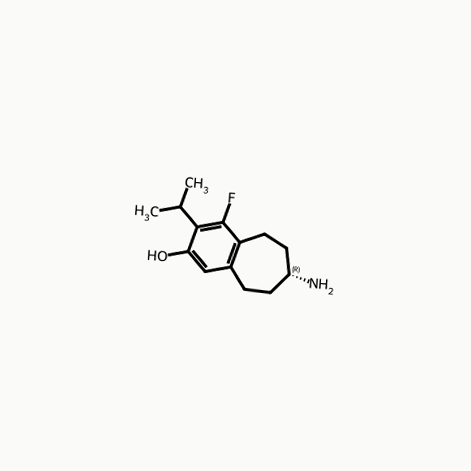 CC(C)c1c(O)cc2c(c1F)CC[C@H](N)CC2